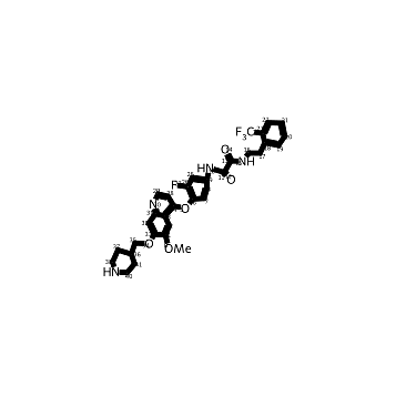 COc1cc2c(Oc3ccc(NC(=O)C(=O)NCCc4ccccc4C(F)(F)F)cc3F)ccnc2cc1OCC1CCNCC1